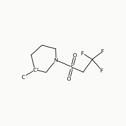 [CH2-][C+]1CCCN(S(=O)(=O)CC(F)(F)F)C1